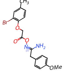 COc1ccc(C/C(N)=N/OC(=O)COc2ccc(C)cc2Br)cc1